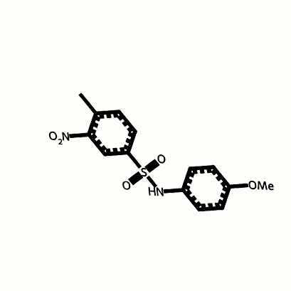 COc1ccc(NS(=O)(=O)c2ccc(C)c([N+](=O)[O-])c2)cc1